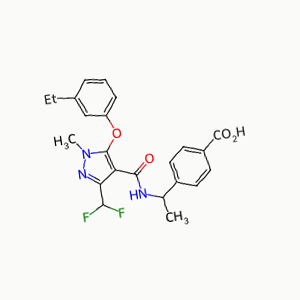 CCc1cccc(Oc2c(C(=O)NC(C)c3ccc(C(=O)O)cc3)c(C(F)F)nn2C)c1